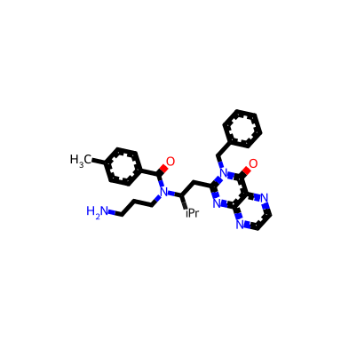 Cc1ccc(C(=O)N(CCCN)C(Cc2nc3nccnc3c(=O)n2Cc2ccccc2)C(C)C)cc1